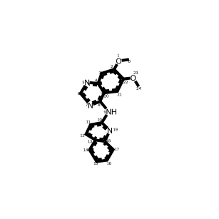 COc1cc2ncnc(Nc3ccc4ccccc4n3)c2cc1OC